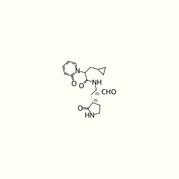 O=C[C@H](C[C@@H]1CCNC1=O)NC(=O)C(CC1CC1)n1ccccc1=O